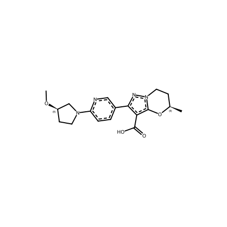 CO[C@@H]1CCN(c2ccc(-c3nn4c(c3C(=O)O)O[C@H](C)CC4)cn2)C1